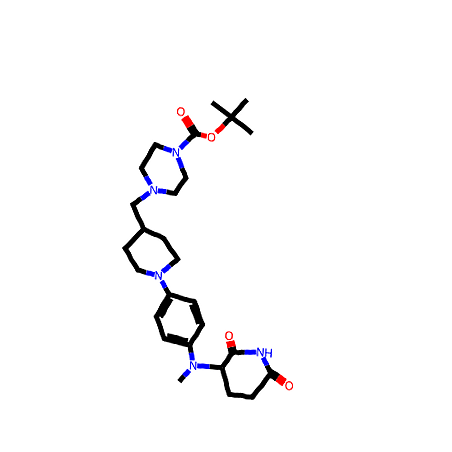 CN(c1ccc(N2CCC(CN3CCN(C(=O)OC(C)(C)C)CC3)CC2)cc1)C1CCC(=O)NC1=O